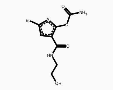 CCc1cc(C(=O)NCCO)c(OC(N)=O)s1